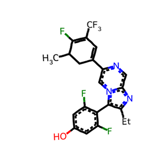 CCc1nc2cnc(C3=CC(C(F)(F)F)=C(F)C(C)C3)cn2c1-c1c(F)cc(O)cc1F